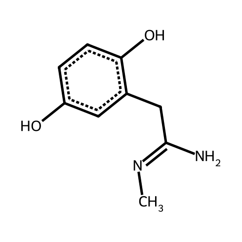 CN=C(N)Cc1cc(O)ccc1O